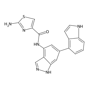 Nc1nc(C(=O)Nc2cc(-c3cccc4[nH]ccc34)cc3[nH]ncc23)cs1